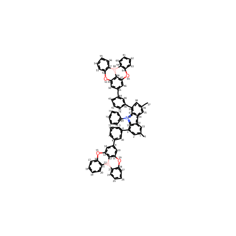 Cc1cc(-c2cccc(-c3cc4c5c(c3)Oc3ccccc3B5c3ccccc3O4)c2)c2c(c1)c1cc(C)cc(-c3cccc(-c4cc5c6c(c4)Oc4ccccc4B6c4ccccc4O5)c3)c1n2-c1ccccc1